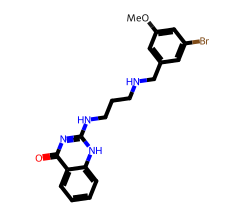 COc1cc(Br)cc(CNCCCNc2nc(=O)c3ccccc3[nH]2)c1